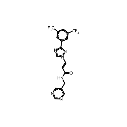 O=C(C=Cn1cnc(-c2cc(C(F)(F)F)cc(C(F)(F)F)c2)n1)NCc1cncnc1